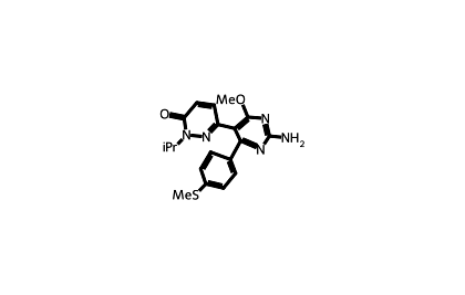 COc1nc(N)nc(-c2ccc(SC)cc2)c1-c1ccc(=O)n(C(C)C)n1